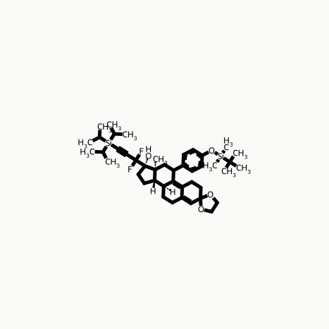 CC(C)[Si](C#CC(F)(F)[C@]1(O)CC[C@H]2[C@@H]3CCC4=CC5(CCC4=C3C(c3ccc(O[Si](C)(C)C(C)(C)C)cc3)C[C@@]21C)OCCO5)(C(C)C)C(C)C